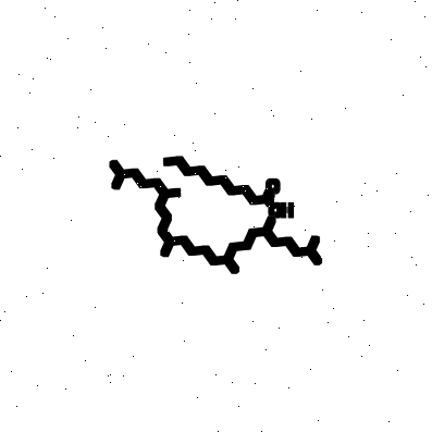 CC(C)CCCC(C)CCCC(C)CCCCC(C)CCCC(C)CCCC(C)C.CCCCCCCCCC(=O)O